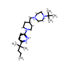 CCCC(C)(C)c1ccc(N2CCC(CN3CCN(C(C)(C)C)CC3)CC2)nn1